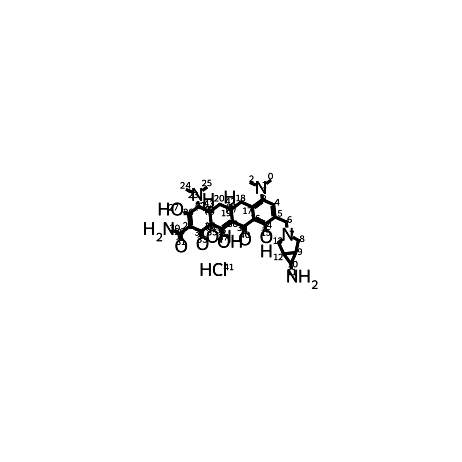 CN(C)c1cc(CN2CC3C(N)C3C2)c(O)c2c1C[C@H]1C[C@H]3[C@H](N(C)C)C(O)=C(C(N)=O)C(=O)[C@@]3(O)C(O)=C1C2=O.Cl